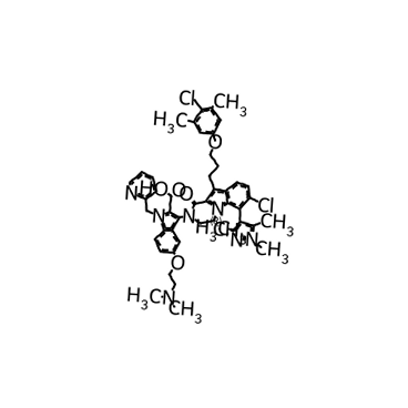 Cc1cc(OCCCc2c3n(c4c(-c5c(C)nn(C)c5C)c(Cl)ccc24)[C@H](C)CN(c2c(C(=O)O)n(Cc4ccccn4)c4ccc(OCCN(C)C)cc24)C3=O)cc(C)c1Cl